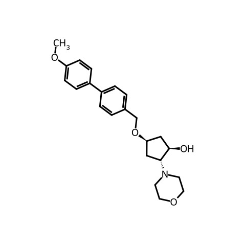 COc1ccc(-c2ccc(CO[C@H]3C[C@@H](O)[C@H](N4CCOCC4)C3)cc2)cc1